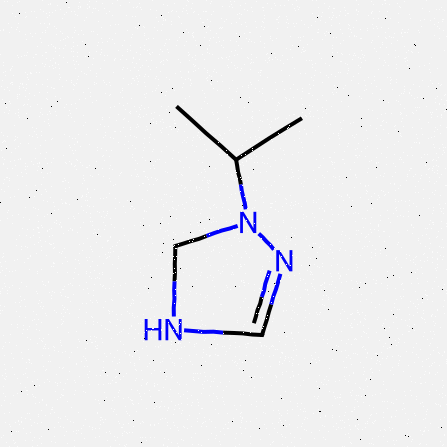 CC(C)N1CNC=N1